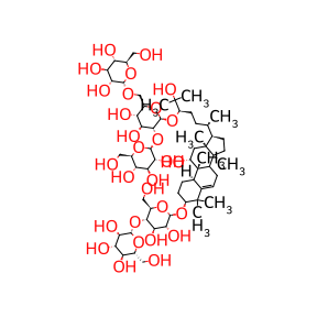 C[C@H](CC[C@@H](O[C@@H]1O[C@H](CO[C@H]2O[C@H](CO)[C@@H](O)[C@H](O)[C@H]2O)[C@@H](O)[C@H](O)[C@H]1O[C@@H]1O[C@H](CO)[C@@H](O)[C@H](O)[C@H]1O)C(C)(C)O)[C@H]1CC[C@@]2(C)C3CC=C4[C@@H](CC[C@H](O[C@@H]5O[C@H](CO)[C@@H](O[C@@H]6O[C@H](CO)[C@@H](O)[C@H](O)[C@H]6O)[C@H](O)[C@H]5O)C4(C)C)[C@]3(C)[C@H](O)C[C@]12C